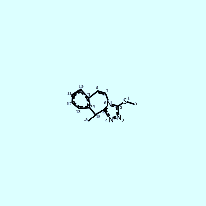 CSc1nnc2n1C=Cc1ccccc1C2C